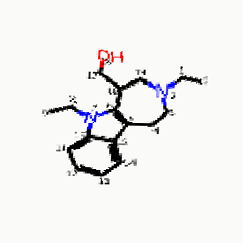 CCN1CCc2c(n(CC)c3ccccc23)C(CO)C1